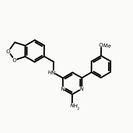 COc1cccc(-c2cc(NCc3ccc4c(c3)OOC4)nc(N)n2)c1